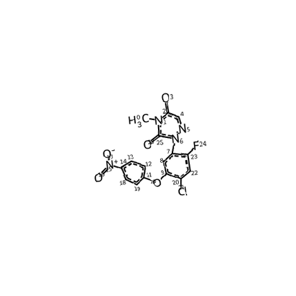 Cn1c(=O)cnn(-c2cc(Oc3ccc([N+](=O)[O-])cc3)c(Cl)cc2F)c1=O